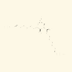 CCCCCCCCCCCCCCCCCC(=O)C(CN(C)C)C(=O)CCCCCCCCCCCCCCCCC